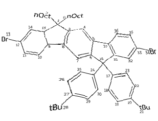 CCCCCCCCC1(CCCCCCCC)c2cc3c(cc2C2C=CC(Br)=CC21)C(c1ccc(C(C)(C)C)cc1)(c1ccc(C(C)(C)C)cc1)c1cc(Br)ccc1-3